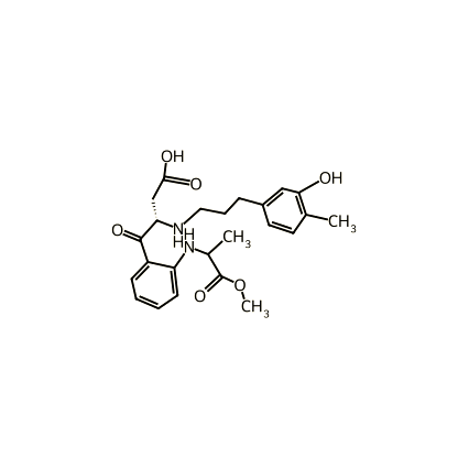 COC(=O)C(C)Nc1ccccc1C(=O)[C@H](CC(=O)O)NCCCc1ccc(C)c(O)c1